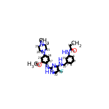 C=CC(=O)Nc1cccc(CNc2nc(Nc3ccc(N4CCN(C)CC4)cc3OC)ncc2F)c1